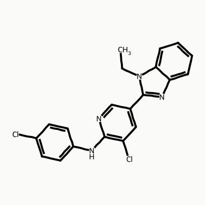 CCn1c(-c2cnc(Nc3ccc(Cl)cc3)c(Cl)c2)nc2ccccc21